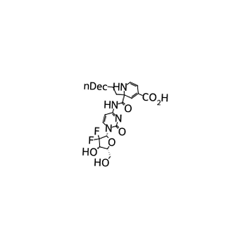 CCCCCCCCCCCCC1(C(=O)Nc2ccn([C@@H]3O[C@H](CO)[C@@H](O)C3(F)F)c(=O)n2)C=C(C(=O)O)C=CN1